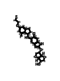 O[C@@H]1CO[C@H]2[C@@H]1OC[C@H]2Oc1nc2nc(NC3CCc4cc(OCCF)cc(F)c43)c(Cl)cc2[nH]1